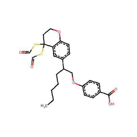 CCCCCC(COc1ccc(C(=O)O)cc1)c1ccc2c(c1)C(SC=O)(SC=O)CCO2